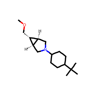 COC[C@@H]1[C@H]2CN(C3CCC(C(C)(C)C)CC3)C[C@@H]12